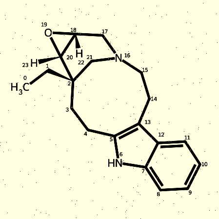 CC[C@@]12CCc3[nH]c4ccccc4c3CCN(C[C@H]3O[C@H]31)C2